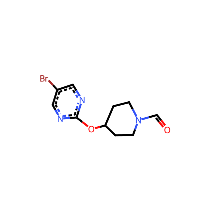 O=CN1CCC(Oc2ncc(Br)cn2)CC1